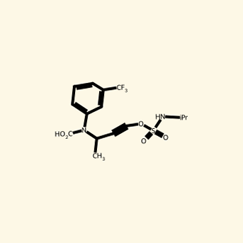 CC(C)NS(=O)(=O)OC#CC(C)N(C(=O)O)c1cccc(C(F)(F)F)c1